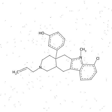 C=CCN1CCC2(c3cccc(O)c3)Cc3c(c4cccc(Cl)c4n3C)CC2C1